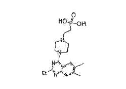 CCc1nc(N2CCN(CCP(=O)(O)O)CC2)c2cc(C)c(C)cc2n1